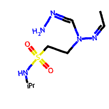 C/C=N\N(/C=N\N)CCS(=O)(=O)NC(C)C